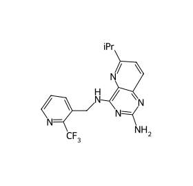 CC(C)c1ccc2nc(N)nc(NCc3cccnc3C(F)(F)F)c2n1